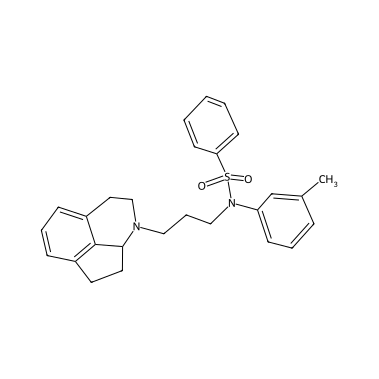 Cc1cccc(N(CCCN2CCc3cccc4c3C2CC4)S(=O)(=O)c2ccccc2)c1